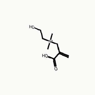 C=C(C[N+](C)(C)CCO)C(=O)O